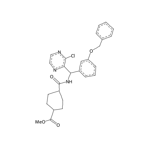 COC(=O)C1CCC(C(=O)NC(c2cccc(OCc3ccccc3)c2)c2nccnc2Cl)CC1